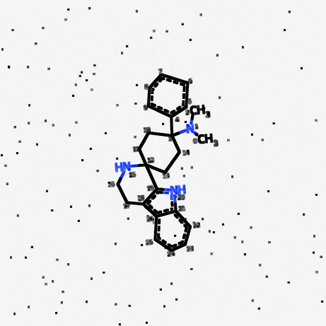 CN(C)C1(c2ccccc2)CCC2(CC1)NCCc1c2[nH]c2ccccc12